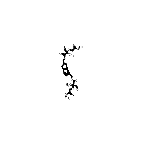 COC(=O)COC(C)(C=O)C(=O)OCC1CC2C3CC(COC(=O)C(C)(C=O)OCC(=O)OC)C(C3)C2C1